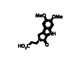 COc1cc2[nH]c3c(c2cc1OC)CN(CCC(=O)O)C3=O